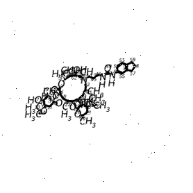 CC[C@H]1OC(=O)[C@H](C)[C@@H](O[C@H]2C[C@@](C)(OC)[C@@H](O)[C@H](C)O2)[C@H](C)[C@@H](O[C@@H]2O[C@H](C)C[C@H](N(C)C)[C@H]2O)[C@](C)(O)C[C@@H](C)CN(CCCNC(=O)Nc2ccc3c(c2)CCC3)[C@H](C)[C@@H](O)[C@]1(C)O